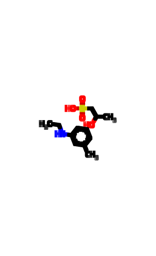 CC(O)CS(=O)(=O)O.CCNc1cccc(C)c1